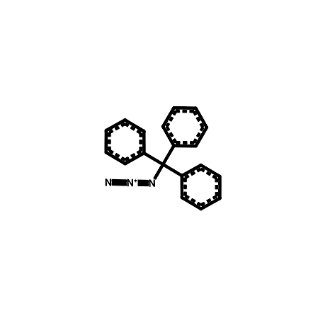 [N-]=[N+]=NC(c1ccccc1)(c1ccccc1)c1ccccc1